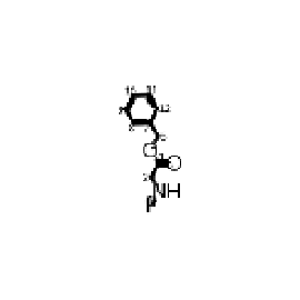 O=C(CNF)OCc1ccccc1